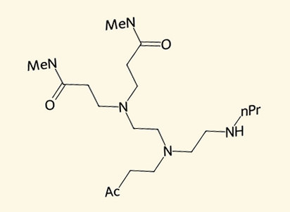 CCCNCCN(CCC(C)=O)CCN(CCC(=O)NC)CCC(=O)NC